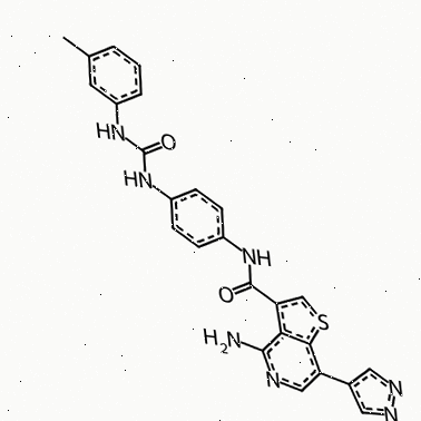 Cc1cccc(NC(=O)Nc2ccc(NC(=O)c3csc4c(-c5cnn(C)c5)cnc(N)c34)cc2)c1